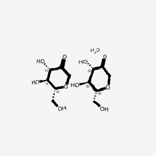 O.O=C1CO[C@H](CO)[C@@H](O)[C@@H]1O.O=C1CO[C@H](CO)[C@@H](O)[C@@H]1O